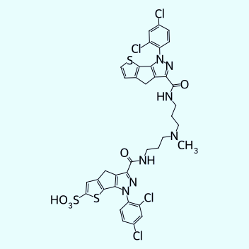 CN(CCCNC(=O)c1nn(-c2ccc(Cl)cc2Cl)c2c1Cc1ccsc1-2)CCCNC(=O)c1nn(-c2ccc(Cl)cc2Cl)c2c1Cc1cc(S(=O)(=O)O)sc1-2